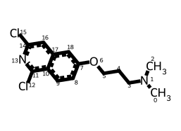 CN(C)CCCOc1ccc2c(Cl)nc(Cl)cc2c1